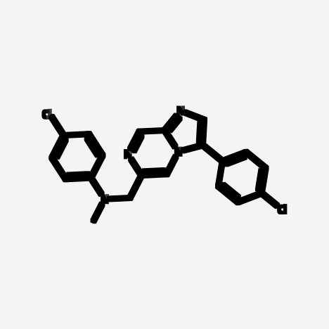 CN(Cc1cn2c(-c3ccc(Cl)cc3)cnc2cn1)c1ccc(Cl)cc1